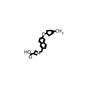 CC1C2CC(Oc3ccc4cc(CN5CC(C(=O)O)C5)ccc4c3)CC12